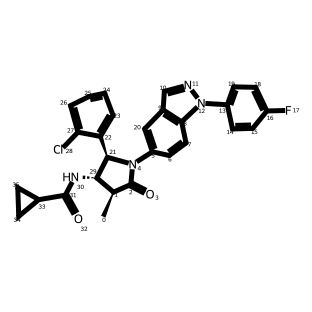 C[C@@H]1C(=O)N(c2ccc3c(cnn3-c3ccc(F)cc3)c2)[C@H](c2ccccc2Cl)[C@H]1NC(=O)C1CC1